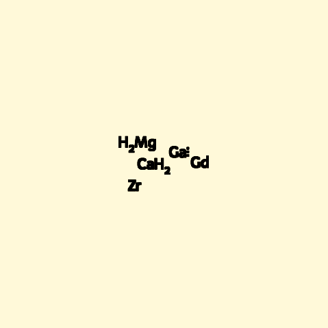 [CaH2].[Ga].[Gd].[MgH2].[Zr]